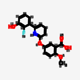 COc1ccc(Oc2cccc(-c3cccc(O)c3F)n2)cc1C(=O)O